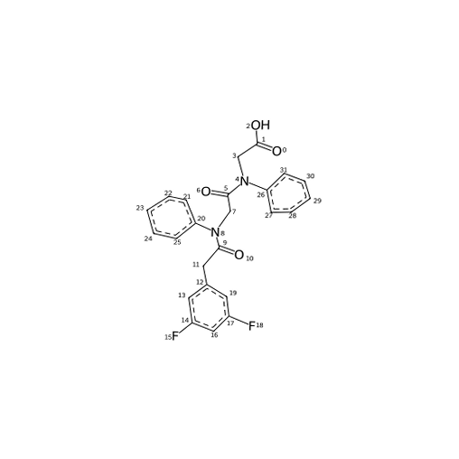 O=C(O)CN(C(=O)CN(C(=O)Cc1cc(F)cc(F)c1)c1ccccc1)c1ccccc1